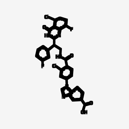 O=C(O)c1ccc2c(c1)ncn2-c1ccc(C(=O)NCC(c2cccc(F)c2)c2nc3c(F)ccc(Cl)c3c(=O)[nH]2)c(Cl)c1